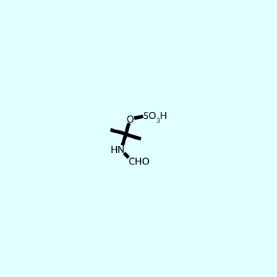 CC(C)(NC=O)OS(=O)(=O)O